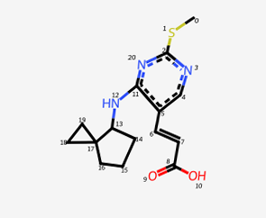 CSc1ncc(/C=C/C(=O)O)c(NC2CCCC23CC3)n1